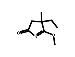 CCC1(C)CC(=O)N=C1OC